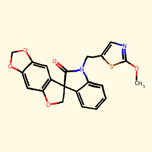 COc1ncc(CN2C(=O)C3(COc4cc5c(cc43)OCO5)c3ccccc32)s1